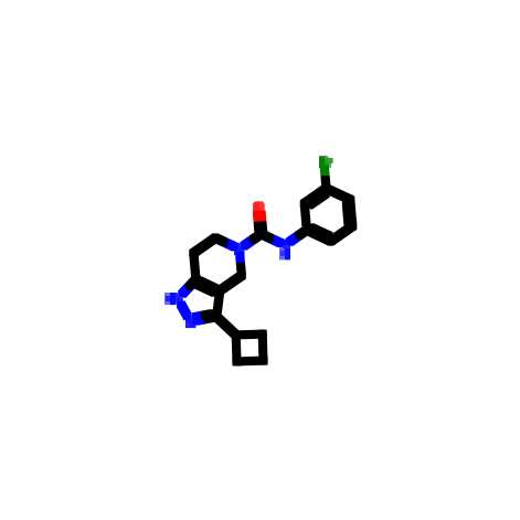 O=C(Nc1cccc(Br)c1)N1CCc2[nH]nc(C3CCC3)c2C1